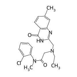 CCN(CC(=O)N(C)c1ccccc1Cl)Cc1nc2cc(C)ccc2c(=O)[nH]1